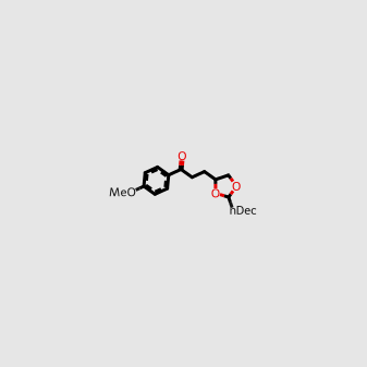 CCCCCCCCCCC1OCC(CCC(=O)c2ccc(OC)cc2)O1